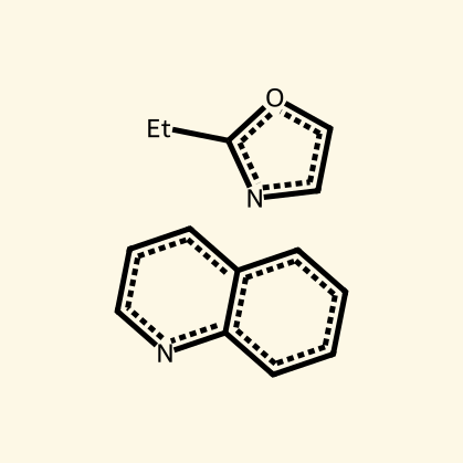 CCc1ncco1.c1ccc2ncccc2c1